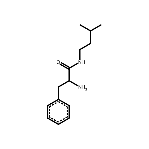 CC(C)CCNC(=O)C(N)Cc1ccccc1